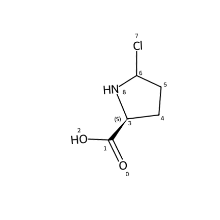 O=C(O)[C@@H]1CCC(Cl)N1